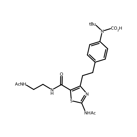 CC(=O)NCCNC(=O)c1sc(NC(C)=O)nc1CCc1ccc(N(C(=O)O)C(C)(C)C)cc1